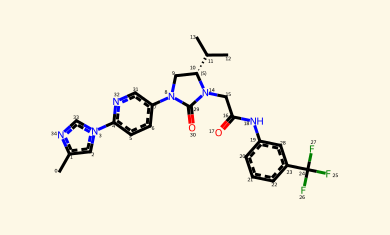 Cc1cn(-c2ccc(N3C[C@H](C(C)C)N(CC(=O)Nc4cccc(C(F)(F)F)c4)C3=O)cn2)cn1